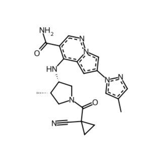 Cc1cnn(-c2cc3c(N[C@@H]4CN(C(=O)C5(C#N)CC5)C[C@@H]4C)c(C(N)=O)cnn3c2)c1